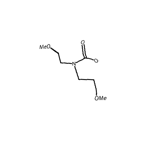 COCCN(CCOC)C([O])=O